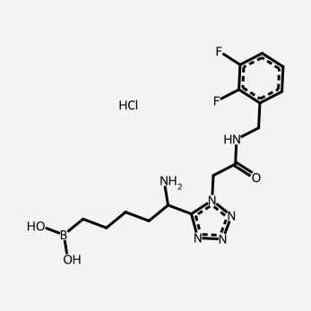 Cl.NC(CCCCB(O)O)c1nnnn1CC(=O)NCc1cccc(F)c1F